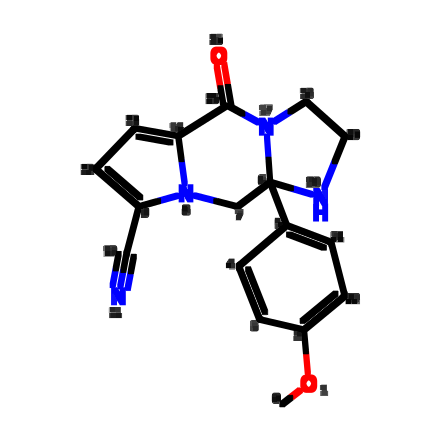 COc1ccc(C23Cn4c(C#N)ccc4C(=O)N2CCN3)cc1